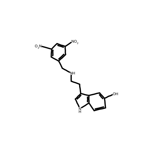 O=[N+]([O-])c1cc(CNCCc2c[nH]c3ccc(O)cc23)cc([N+](=O)[O-])c1